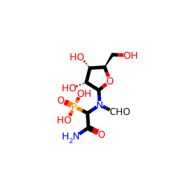 NC(=O)C(N(C=O)C1O[C@H](CO)[C@@H](O)[C@H]1O)P(=O)(O)O